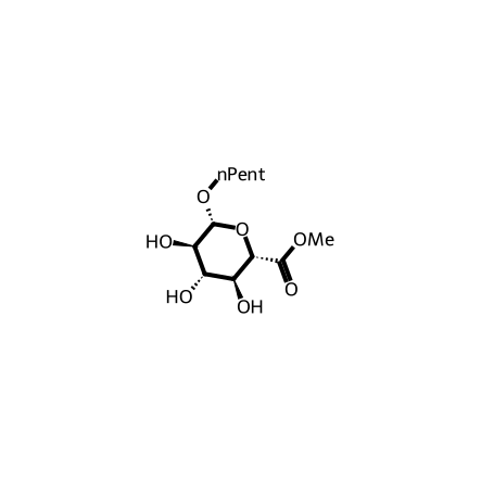 CCCCCO[C@@H]1O[C@H](C(=O)OC)[C@@H](O)[C@H](O)[C@H]1O